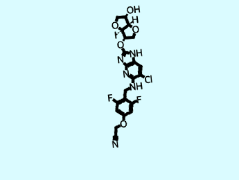 N#CCOc1cc(F)c(CNc2nc3nc(O[C@@H]4CO[C@@H]5[C@H](O)CO[C@@]54I)[nH]c3cc2Cl)c(F)c1